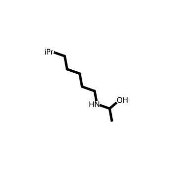 CC(C)CCCCCNC(C)O